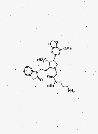 CCCCN(CCCN)C(=O)CN1C[C@H](c2cc(OC)c3c(c2)OCO3)[C@@H](C(=O)O)[C@@H]1CCN1C(=O)Cc2ccccc21